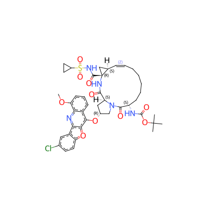 COc1cccc2c(O[C@@H]3C[C@H]4C(=O)N[C@]5(C(=O)NS(=O)(=O)C6CC6)C[C@H]5/C=C\CCCCC[C@H](NC(=O)OC(C)(C)C)C(=O)N4C3)c3oc4ccc(Cl)cc4c3nc12